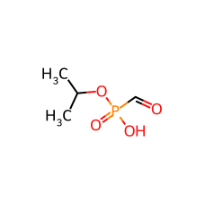 CC(C)OP(=O)(O)C=O